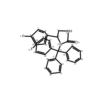 O=C1NCC(c2ccc(F)c(F)c2)N1C(c1ccccc1)(c1ccccc1)c1ccccc1